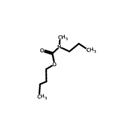 CCCCOC(=O)N(C)CCC